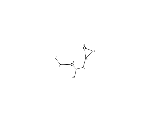 CCOC(C)CC1CO1